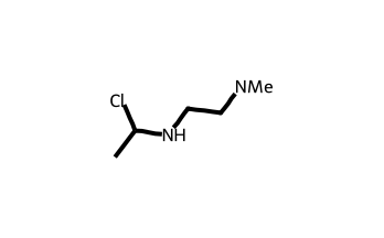 CNCCNC(C)Cl